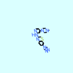 CN1CCN(c2ccnc(NC3=Nc4ccc(-n5cnnc5)cc4SC3)c2)CC1